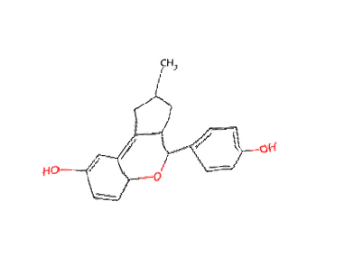 CC1CC2=C3C=C(O)C=CC3OC(c3ccc(O)cc3)C2C1